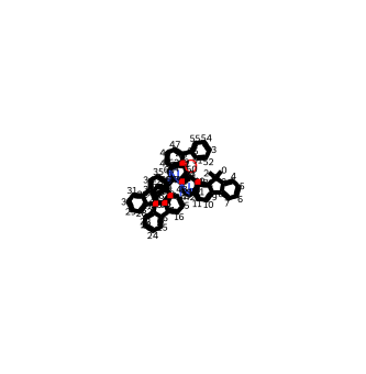 CC1(C)c2ccccc2-c2ccc(N(c3ccc4c(c3)C3(c5ccccc5-4)c4ccccc4-c4ccc(N(c5ccccc5)c5cccc6c5oc5ccccc56)cc43)c3ccccc3-c3ccccc3)cc21